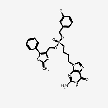 C=C1OC(COP(=O)(CCCCn2cnc3c(=O)[nH]c(N)nc32)OCc2cccc(F)c2)=C(c2ccccc2)O1